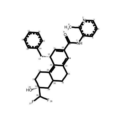 Cc1ncccc1NC(=O)C1=C[C@@H](Cc2ccccc2)C2=C3CC[C@](O)(C(F)F)CC3CCC2=C1